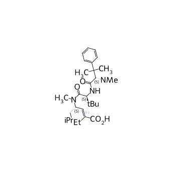 CC/C(=C\[C@H](CC(C)C)N(C)C(=O)[C@@H](NC(=O)[C@@H](NC)C(C)(C)c1ccccc1)C(C)(C)C)C(=O)O